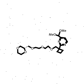 COC(OC)c1ccnc(C2(COCCOCCOC[C@H]3COCCO3)CCC2)n1